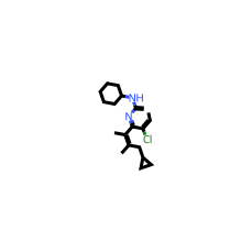 C=C(/N=C(C(/C)=C(/C)CC1CC1)\C(Cl)=C/C)NC1CCCCC1